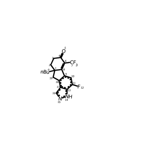 CCCCC12CCC(=O)C(C(F)(F)F)=C1c1cc(F)c3[nH]ncc3c1C2